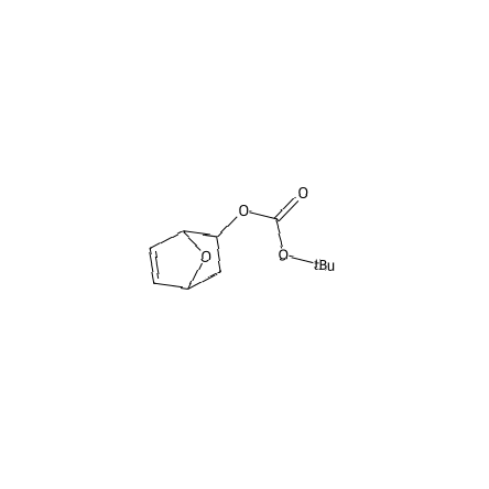 CC(C)(C)OC(=O)OC1CC2C=CC1O2